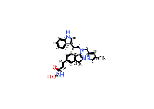 N#Cc1c[nH]c(CN(CCc2c[nH]c3ccccc23)C2CCc3cc(C=CC(=O)NO)ccc32)c1